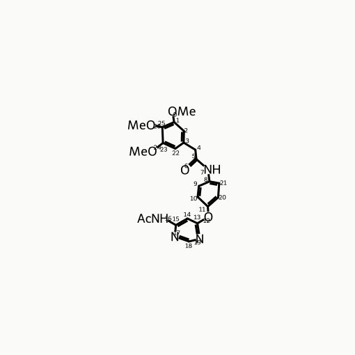 COc1cc(CC(=O)Nc2ccc(Oc3cc(NC(C)=O)ncn3)cc2)cc(OC)c1OC